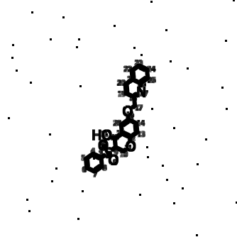 O=S(=O)(c1ccccc1)C1COc2ccc(OCc3ccc4ccccc4n3)cc2C1O